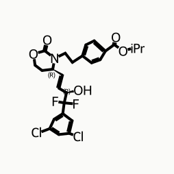 CC(C)OC(=O)c1ccc(CCN2C(=O)OCC[C@@H]2C=C[C@@H](O)C(F)(F)c2cc(Cl)cc(Cl)c2)cc1